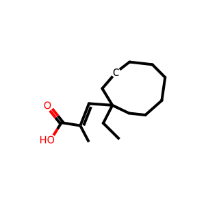 CCC1(C=C(C)C(=O)O)CCCCCCCC1